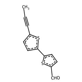 CC#Cc1ccc(-c2ccc(C=O)s2)s1